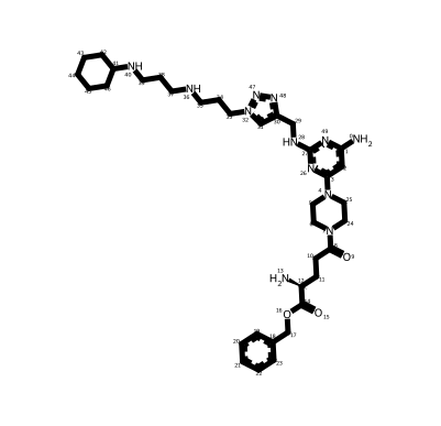 Nc1cc(N2CCN(C(=O)CC[C@H](N)C(=O)OCc3ccccc3)CC2)nc(NCc2cn(CCCNCCCNC3CCCCC3)nn2)n1